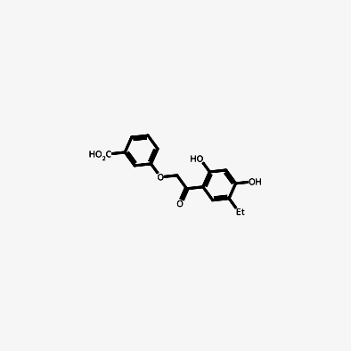 CCc1cc(C(=O)COc2cccc(C(=O)O)c2)c(O)cc1O